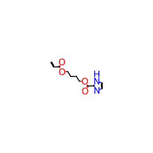 C=CC(=O)OCCCCOC(=O)c1ncc[nH]1